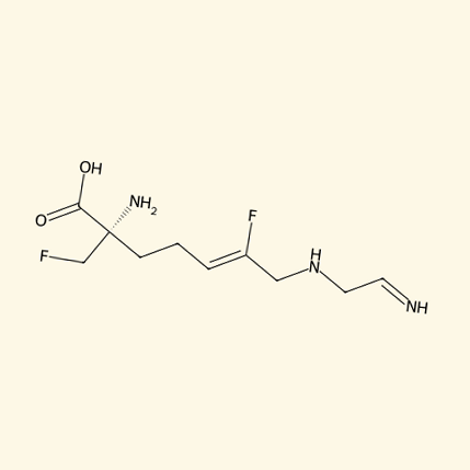 N=CCNC/C(F)=C/CC[C@@](N)(CF)C(=O)O